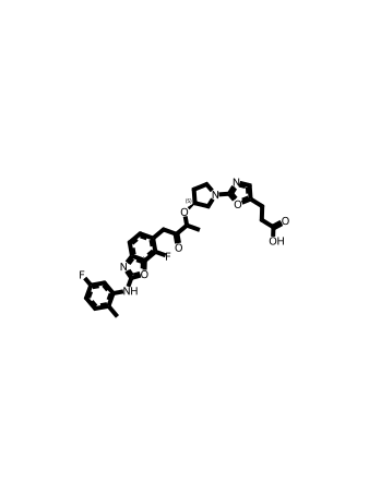 Cc1ccc(F)cc1Nc1nc2ccc(CC(=O)C(C)O[C@H]3CCN(c4ncc(CCC(=O)O)o4)C3)c(F)c2o1